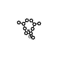 Cn1c2c(-c3ccc(-c4cc(-c5ccccc5)cc(-c5ccccc5)c4)cc3)cccc2c2c3oc4ccccc4c3cc(-c3ccc(-c4cc(-c5ccccc5)cc(-c5ccccc5)c4)cc3)c21